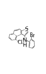 Clc1cccc2ccc3scc(Nc4ccccc4Br)c3c12